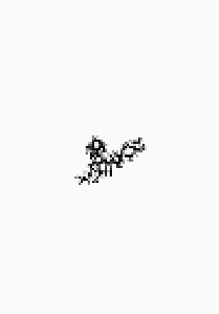 CC(C)(C)OC(=O)N1CC2=C(C1=O)C(Nc1ccc(N3CCC4(CCOC4)CC3)cn1)CC(c1c(F)cccc1F)=N2